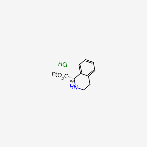 CCOC(=O)[C@H]1NCCc2ccccc21.Cl